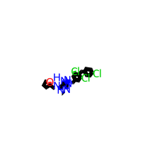 Clc1ccc(Cc2c(Cl)cc(Cn3nnc4c(NCC5CCCO5)ncnc43)cc2Cl)cc1